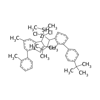 CC1=Cc2c(-c3ccccc3C)cc(C)cc2[CH]1[Zr]([Cl])([Cl])([CH]1C(C(C)C)=Cc2c(-c3ccc(C(C)(C)C)cc3)cccc21)[SiH](C)C